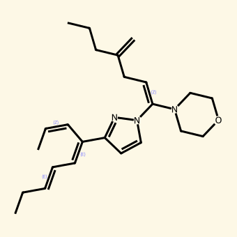 C=C(C/C=C(/N1CCOCC1)n1ccc(C(/C=C\C)=C/C=C/CC)n1)CCC